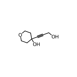 OCC#CC1(O)CCOCC1